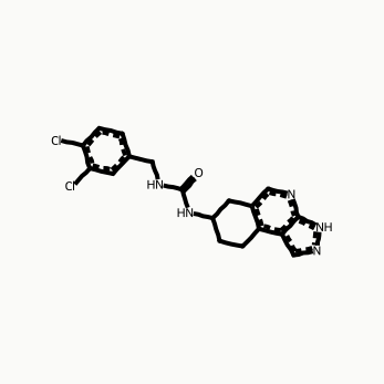 O=C(NCc1ccc(Cl)c(Cl)c1)NC1CCc2c(cnc3[nH]ncc23)C1